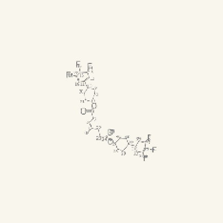 CC(CCC(=O)OC1CCC(c2cc(F)c(F)c(F)c2)CC1)CCC(=O)OC1CCC(c2cc(F)c(F)c(F)c2)CC1